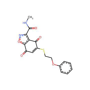 CNC(=O)c1noc2c1C(=O)C(SCCOc1ccccc1)=CC2=O